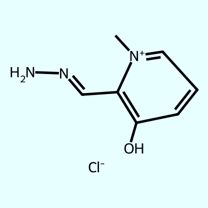 C[n+]1cccc(O)c1C=NN.[Cl-]